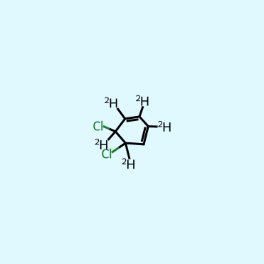 [2H]C1=CC([2H])(Cl)C([2H])(Cl)C([2H])=C1[2H]